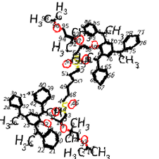 CC(C)OCCC(C)(C)OC(COc1c(C(C)c2ccccc2)cc(C(C)c2ccccc2)cc1C(C)c1ccccc1)CS(=O)(=O)CCCCCCS(=O)(=O)CC(COc1c(C(C)c2ccccc2)cc(C(C)c2ccccc2)cc1C(C)c1ccccc1)OC(C)(C)CCOC(C)C